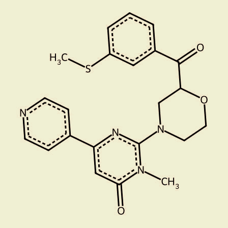 CSc1cccc(C(=O)C2CN(c3nc(-c4ccncc4)cc(=O)n3C)CCO2)c1